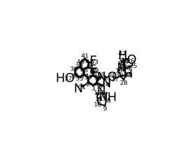 N#Cc1cc2c(N3CC4CCC(C3)N4)nc(OCC3(CN4C[C@H]5C[C@@H]4CO5)CC3)nc2c(F)c1-c1cc(O)cc2ccc(F)c(F)c12